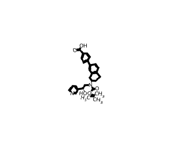 CC(C)(C)OC(=O)N(C[C@H](O)c1cccnc1)[C@H]1CCc2ccc(-c3ccc(C(=O)O)cc3)cc2C1